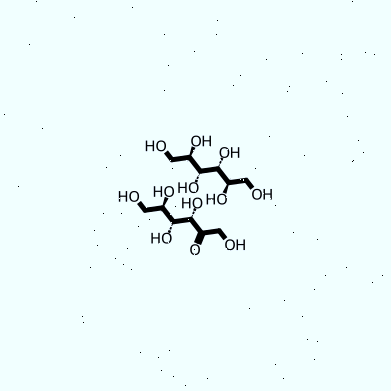 O=C(CO)[C@@H](O)[C@H](O)[C@H](O)CO.OC[C@@H](O)[C@@H](O)[C@H](O)[C@H](O)CO